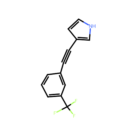 FC(F)(F)c1cccc(C#Cc2cc[nH]c2)c1